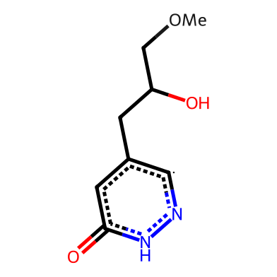 COCC(O)Cc1[c]n[nH]c(=O)c1